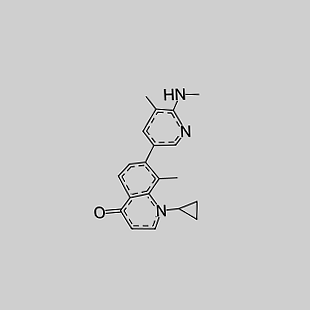 CNc1ncc(-c2ccc3c(=O)ccn(C4CC4)c3c2C)cc1C